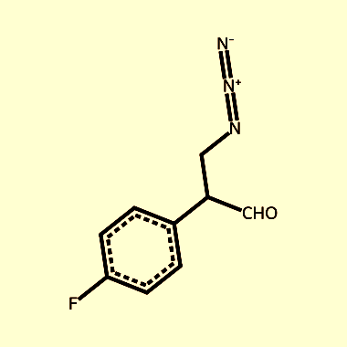 [N-]=[N+]=NCC(C=O)c1ccc(F)cc1